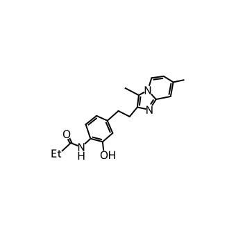 CCC(=O)Nc1ccc(CCc2nc3cc(C)ccn3c2C)cc1O